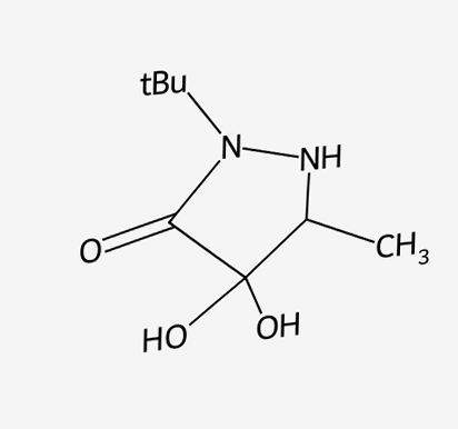 CC1NN(C(C)(C)C)C(=O)C1(O)O